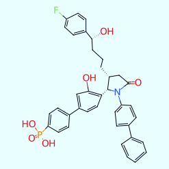 O=C1C[C@@H](CCC[C@@H](O)c2ccc(F)cc2)[C@@H](c2ccc(-c3ccc(P(=O)(O)O)cc3)cc2O)N1c1ccc(-c2ccccc2)cc1